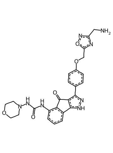 NCc1noc(COc2ccc(-c3n[nH]c4c3C(=O)c3c(NC(=O)NN5CCOCC5)cccc3-4)cc2)n1